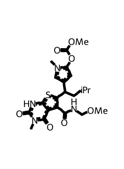 COCNC(=O)c1c(C(CC(C)C)c2cc(OC(=O)OC)n(C)c2)sc2[nH]c(=O)n(C)c(=O)c12